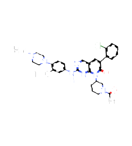 CCC(=O)N1CCCC(n2c(=O)c(-c3ccccc3Cl)cc3cnc(Nc4ccc(N5CCN(C)CC5)c(C)c4)nc32)C1